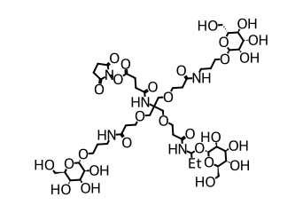 CCC(NC(=O)CCOCC(COCCC(=O)NCCCO[C@H]1O[C@H](CO)[C@@H](O)[C@H](O)[C@@H]1O)(COCCC(=O)NCCCO[C@H]1O[C@H](CO)[C@@H](O)[C@H](O)[C@@H]1O)NC(=O)CCC(=O)ON1C(=O)CCC1=O)O[C@H]1O[C@H](CO)[C@@H](O)[C@H](O)[C@@H]1O